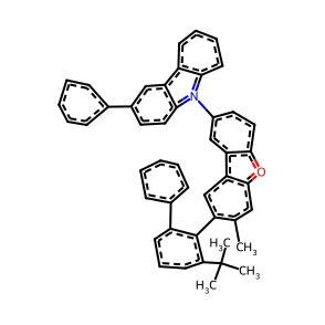 Cc1cc2oc3ccc(-n4c5ccccc5c5cc(-c6ccccc6)ccc54)cc3c2cc1-c1c(-c2ccccc2)cccc1C(C)(C)C